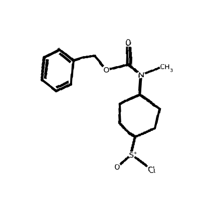 CN(C(=O)OCc1ccccc1)C1CCC([S+]([O-])Cl)CC1